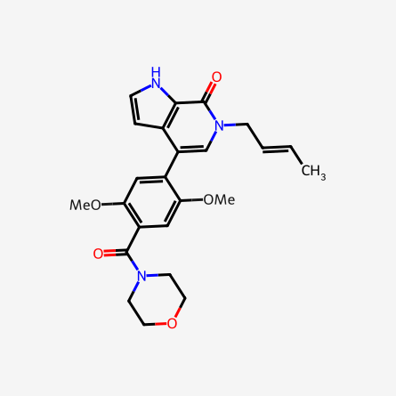 C/C=C/Cn1cc(-c2cc(OC)c(C(=O)N3CCOCC3)cc2OC)c2cc[nH]c2c1=O